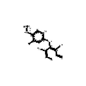 C=C/C(F)=C(Oc1cc(C)c(NN)cn1)\C(F)=C/C